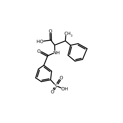 CC(c1ccccc1)C(NC(=O)c1cccc(S(=O)(=O)O)c1)C(=O)O